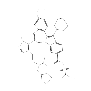 COc1ccc2c(c1)C=C(c1c(CON(CC3CCCO3)C(C)C)cnn1C)Cn1c-2c(C2CCCCC2)c2ccc(C(=O)NS(=O)(=O)C(C)C)cc21